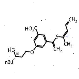 C=C/C=C(/C)SC(=C)c1cc(OCC[C@@H](O)CCCC)cc(C(=O)O)c1